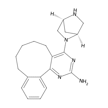 Nc1nc2c(c(N3C[C@@H]4C[C@H]3CN4)n1)CCCCCc1ccccc1-2